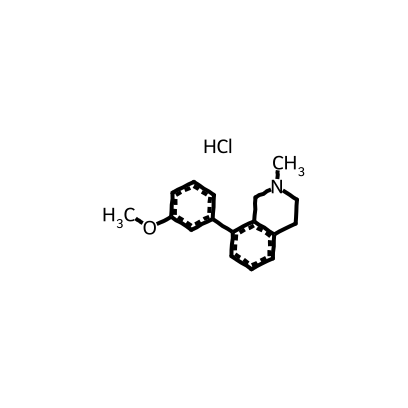 COc1cccc(-c2cccc3c2CN(C)CC3)c1.Cl